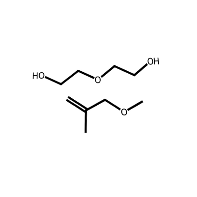 C=C(C)COC.OCCOCCO